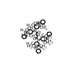 CC1(C)CC(N(C(=O)CCC(=O)N(C2CC(C)(C)N(OC3CCCCC3)C(C)(C)C2)C2CC(C)(C)N(OC3CCCCC3)C(C)(C)C2)C2CC(C)(C)N(OC3CCCCC3)C(C)(C)C2)CC(C)(C)N1OC1CCCCC1